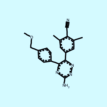 COCc1ccc(-c2nc(N)nnc2-c2cc(C)c(C#N)c(C)c2)cc1